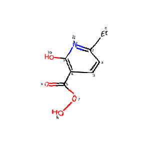 CCc1ccc(C(=O)OO)c(O)n1